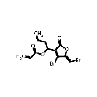 C=CC(=O)OC(CCC)C1=C(Br)/C(=C/Br)OC1=O